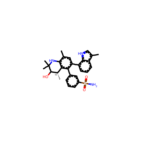 Cc1cc(-c2cccc3c(C)c[nH]c23)c(-c2cccc(S(N)(=O)=O)c2)c2c1NC(C)(C)C(O)[C@H]2C